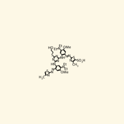 CCN(CC)c1cc(Nc2nc(Nc3cc(N(CC)CC)c(OC)cc3/N=N/c3nc(C)c(S(=O)(=O)O)s3)nc(SCCO)n2)c(/N=N/c2nc(C)cs2)cc1OC